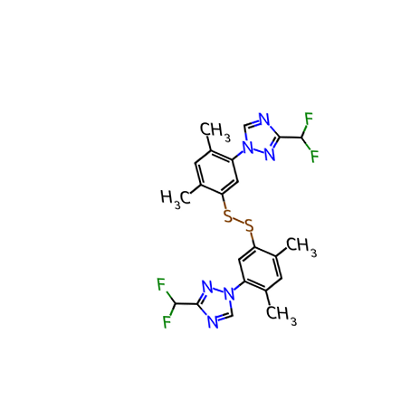 Cc1cc(C)c(-n2cnc(C(F)F)n2)cc1SSc1cc(-n2cnc(C(F)F)n2)c(C)cc1C